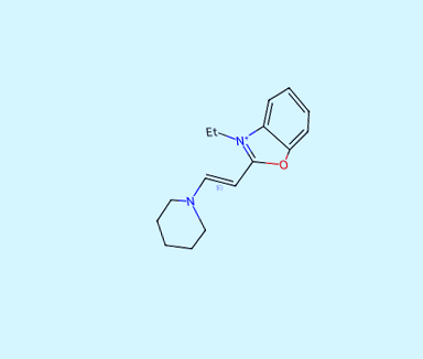 CC[n+]1c(/C=C/N2CCCCC2)oc2ccccc21